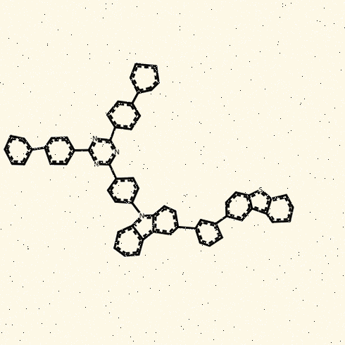 c1ccc(-c2ccc(-c3nc(-c4ccc(-c5ccccc5)cc4)nc(-c4ccc(-n5c6ccccc6c6cc(-c7cccc(-c8ccc9sc%10ccccc%10c9c8)c7)ccc65)cc4)n3)cc2)cc1